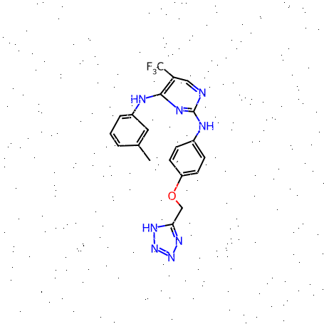 Cc1cccc(Nc2nc(Nc3ccc(OCc4nnn[nH]4)cc3)ncc2C(F)(F)F)c1